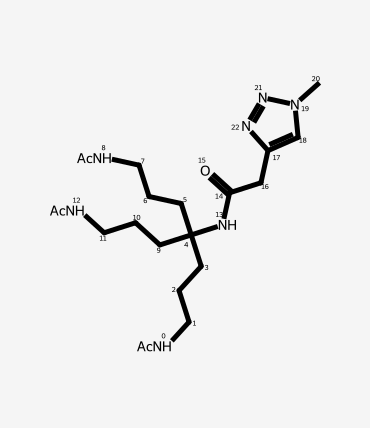 CC(=O)NCCCC(CCCNC(C)=O)(CCCNC(C)=O)NC(=O)Cc1cn(C)nn1